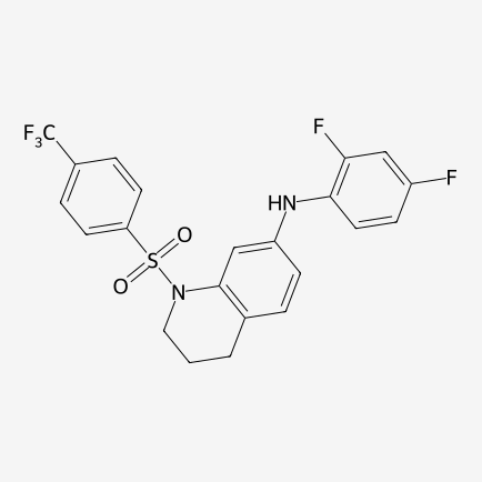 O=S(=O)(c1ccc(C(F)(F)F)cc1)N1CCCc2ccc(Nc3ccc(F)cc3F)cc21